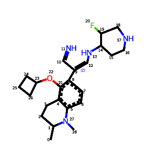 CC1CCc2c(ccc(/C(C=N)=C/NC3CCNCC3F)c2OC2CCC2)N1C